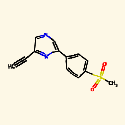 C#Cc1cncc(-c2ccc(S(C)(=O)=O)cc2)n1